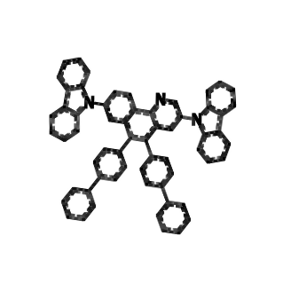 c1ccc(-c2ccc(-c3c(-c4ccc(-c5ccccc5)cc4)c4cc(-n5c6ccccc6c6ccccc65)cnc4c4ccc(-n5c6ccccc6c6ccccc65)cc34)cc2)cc1